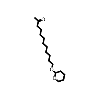 CC(=O)CCCCCCCCCCOC1CCCCO1